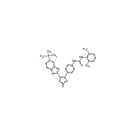 Cc1cccc(C)c1NC(=O)Nc1ccc(-c2n[nH]cc2-c2nc3cc(C(C)(C)C)ccc3o2)cc1